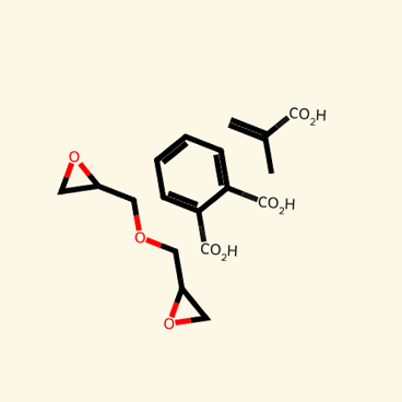 C(OCC1CO1)C1CO1.C=C(C)C(=O)O.O=C(O)c1ccccc1C(=O)O